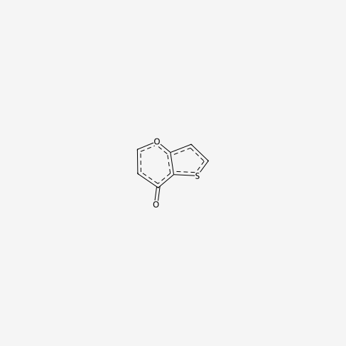 O=c1ccoc2ccsc12